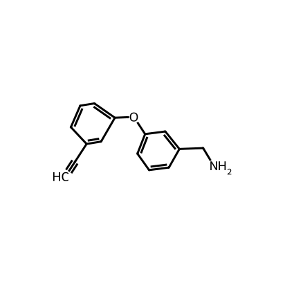 C#Cc1cccc(Oc2cccc(CN)c2)c1